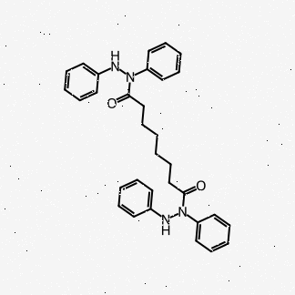 O=C(CCCCCCC(=O)N(Nc1ccccc1)c1ccccc1)N(Nc1ccccc1)c1ccccc1